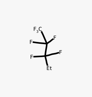 CCC(F)(F)C(F)(F)C(F)(F)F